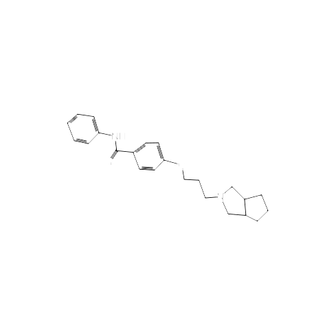 O=C(Nc1ccccc1)c1ccc(OCCCN2CC3CCCC3C2)cc1